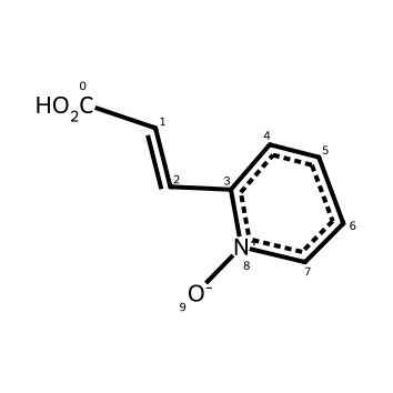 O=C(O)/C=C/c1cccc[n+]1[O-]